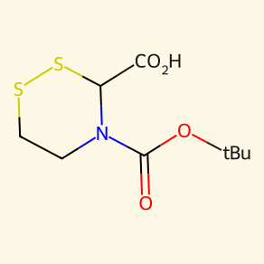 CC(C)(C)OC(=O)N1CCSSC1C(=O)O